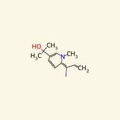 C=C/C(I)=C1/C=CC(C(C)(C)O)=CN1C